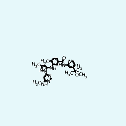 CNc1cc(-n2nc(C)cc2Nc2cc(C(=O)Nc3cc(C(C)(C)OC)ccn3)ccc2C)ncn1